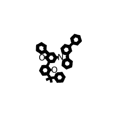 CC1(C)c2ccccc2Oc2c(-c3cc(-n4c5ccccc5c5cc(-c6ccccc6)ccc54)cc4c3oc3ccccc34)cccc21